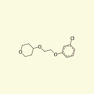 Clc1cccc(OCCOC2CCOCC2)c1